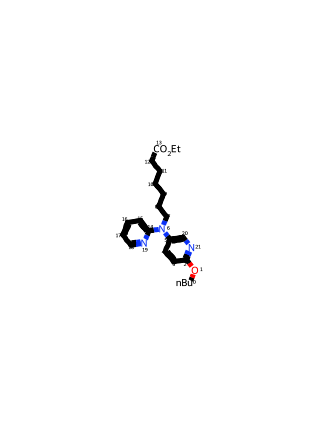 CCCCOc1ccc(N(CCCCCCC(=O)OCC)c2ccccn2)cn1